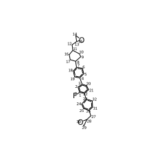 Fc1cc(-c2ccc(C3CCC(CC4CO4)CC3)cc2)ccc1-c1ccc(CC2CO2)cc1